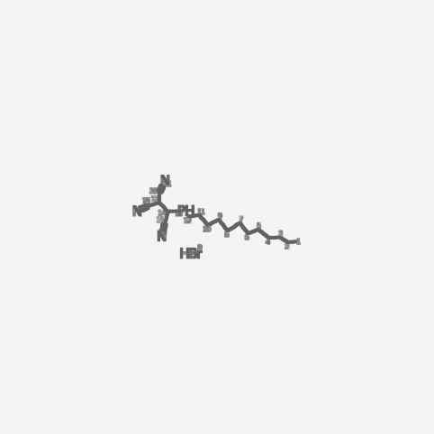 Br.CCCCCCCCCCCCPC(C#N)C(C#N)C#N